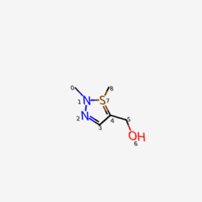 CN1N=CC(CO)=S1C